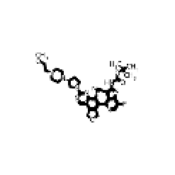 COCCN1CCN([C@@H]2CCN(c3ncc4c5c(c(-c6ncc(F)c7sc(NC(=O)OC(C)(C)C)c(C#N)c67)c(F)c4n3)COC5)C2)CC1